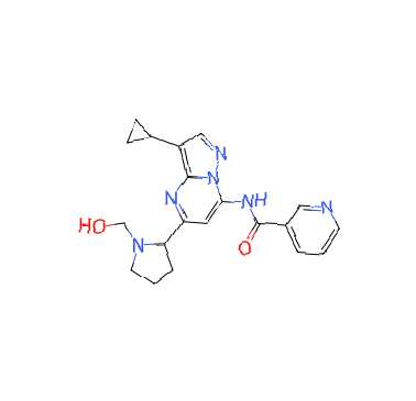 O=C(Nc1cc(C2CCCN2CO)nc2c(C3CC3)cnn12)c1cccnc1